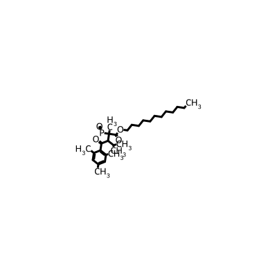 CCCCCCCCCCCCOC(=O)C(C)(P=O)C(C(=O)c1c(C)cc(C)cc1C)C(C)C